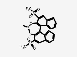 Cp1oc2c(S(=O)(=O)C(F)(F)F)cc3ccccc3c2c2c(o1)c(S(=O)(=O)C(F)(F)F)cc1ccccc12